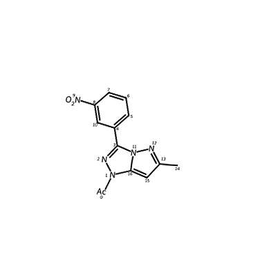 CC(=O)n1nc(-c2cccc([N+](=O)[O-])c2)n2nc(C)cc12